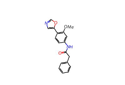 COc1cc(NC(=O)Cc2ccccc2)ccc1-c1cnco1